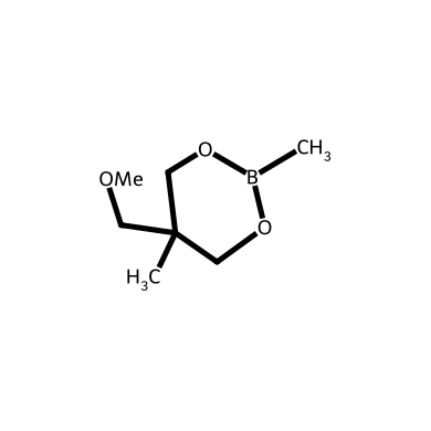 COCC1(C)COB(C)OC1